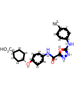 N#Cc1ccc(Nc2nnc(C(=O)Nc3ccc(O[C@H]4CC[C@@H](C(=O)O)CC4)cc3)o2)cc1